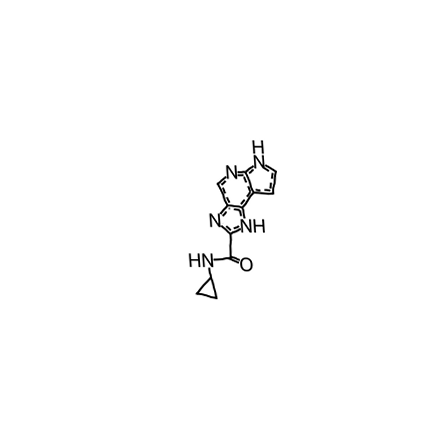 O=C(NC1CC1)c1nc2cnc3[nH]ccc3c2[nH]1